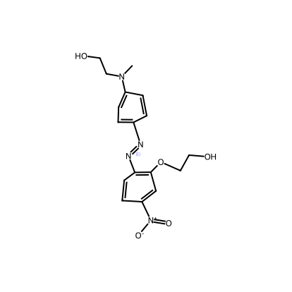 CN(CCO)c1ccc(/N=N/c2ccc([N+](=O)[O-])cc2OCCO)cc1